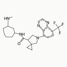 CNC1CCCCC(NC(=O)C2CN(c3ccc(C(F)(F)F)c4nccnc34)CC23CC3)C1